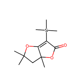 CC1(C)CC2(C)OC(=O)C([Si](C)(C)C)=C2O1